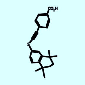 CC1(C)CCC(C)(C)c2cc(SC#Cc3ccc(C(=O)O)cc3)ccc21